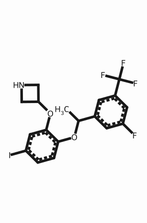 CC(Oc1ccc(I)cc1OC1CNC1)c1cc(F)cc(C(F)(F)F)c1